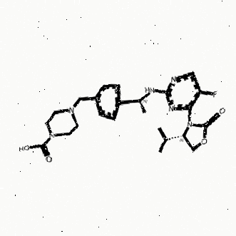 CC(C)[C@H]1COC(=O)N1c1nc(N[C@@H](C)c2ccc(CN3CCN(C(=O)O)CC3)cc2)ncc1F